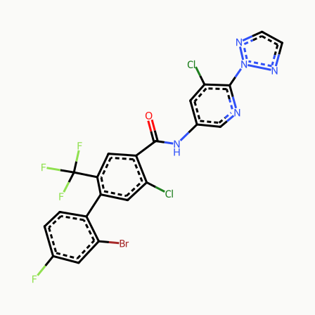 O=C(Nc1cnc(-n2nccn2)c(Cl)c1)c1cc(C(F)(F)F)c(-c2ccc(F)cc2Br)cc1Cl